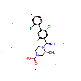 CC1CN(C(=O)O)CCN1C(=N)c1cc(Cl)c(-c2ccccc2F)cc1F